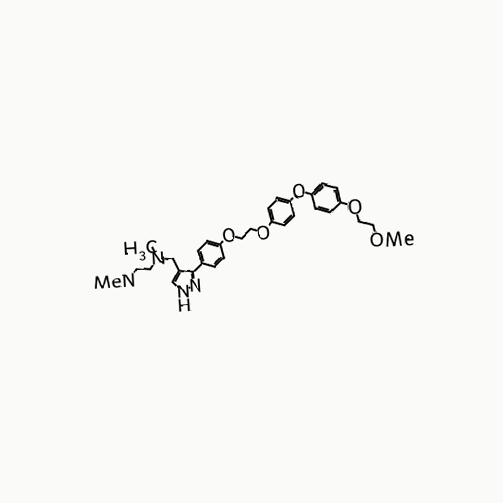 CNCCN(C)Cc1c[nH]nc1-c1ccc(OCCOc2ccc(Oc3ccc(OCCOC)cc3)cc2)cc1